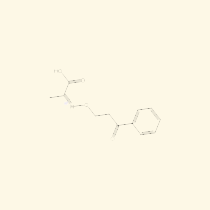 C/C(=N/OCCC(=O)c1ccccc1)C(=O)O